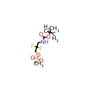 CC(C)(C)OC(=O)NCC(F)(F)COS(C)(=O)=O